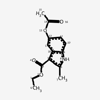 CCOC(=O)c1c(C)[nH]c2ccc(OC(C)=O)cc12